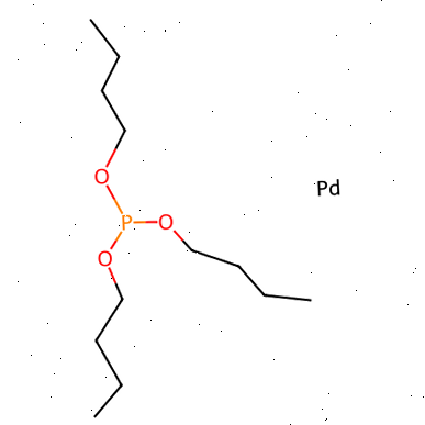 CCCCOP(OCCCC)OCCCC.[Pd]